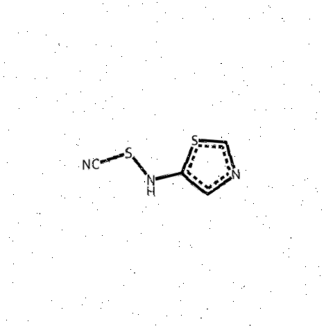 N#CSNc1cncs1